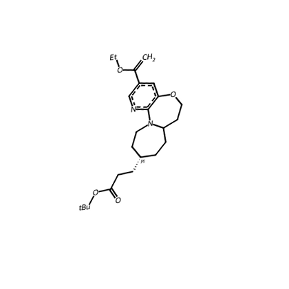 C=C(OCC)c1cnc2c(c1)OCCC1CC[C@H](CCC(=O)OC(C)(C)C)CCN21